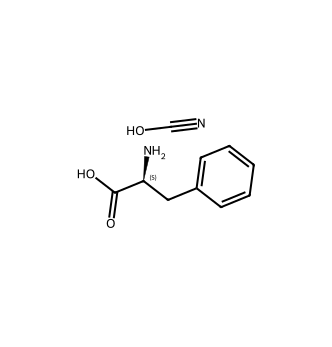 N#CO.N[C@@H](Cc1ccccc1)C(=O)O